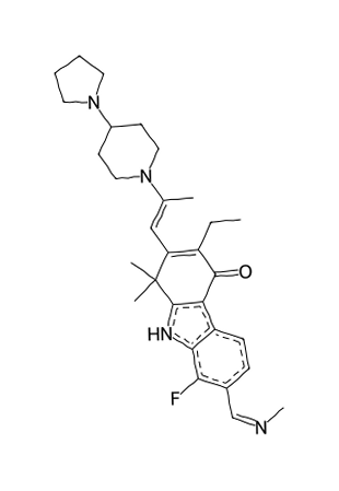 CCC1=C(/C=C(\C)N2CCC(N3CCCC3)CC2)C(C)(C)c2[nH]c3c(F)c(/C=N\C)ccc3c2C1=O